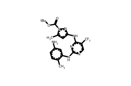 Cc1ccc(N)cc1Nc1ncc(C(F)(F)F)c(Nc2cc(C)n(C(=O)OC(C)(C)C)n2)n1